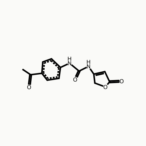 CC(=O)c1ccc(NC(=O)NC2=CC(=O)OC2)cc1